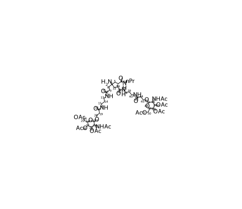 CCCNC(=O)CCC(N)(CCC(=O)NCCCNC(=O)CCO[C@@H]1OC(COC(C)=O)[C@H](OC(C)=O)C(OC(C)=O)C1NC(C)=O)CCC(=O)NCCCNC(=O)CCO[C@@H]1OC(COC(C)=O)[C@H](OC(C)=O)C(OC(C)=O)C1NC(C)=O